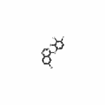 Fc1ccc(Oc2ncnc3ccc(Br)cc23)c(F)c1Cl